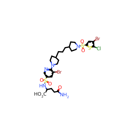 NC(=O)CCC(NS(=O)(=O)c1cnc(N2CCC(CCCC3CCN(S(=O)(=O)c4cc(Br)c(Cl)s4)CC3)CC2)c(Br)c1)C(=O)O